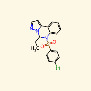 CCC1N(S(=O)(=O)c2ccc(Cl)cc2)c2ccccc2-c2ccnn21